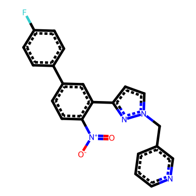 O=[N+]([O-])c1ccc(-c2ccc(F)cc2)cc1-c1ccn(Cc2cccnc2)n1